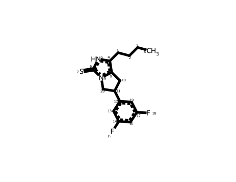 CCCCc1[nH]c(=S)n2c1CC(c1cc(F)cc(F)c1)C2